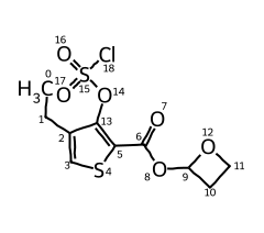 CCc1csc(C(=O)OC2CCO2)c1OS(=O)(=O)Cl